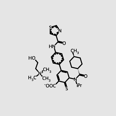 CC(C)N(C(=O)[C@H]1CC[C@H](C)CC1)C1C=C(c2ccc(NC(=O)c3cscn3)cc2)C=C(C(=O)[O-])C1=S.C[N+](C)(C)CCO